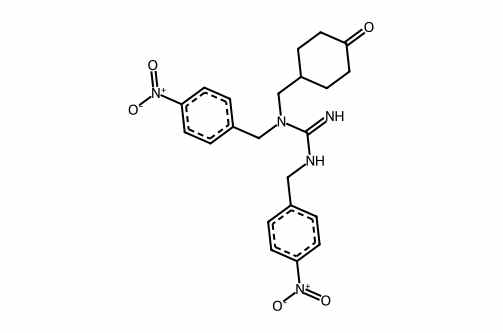 N=C(NCc1ccc([N+](=O)[O-])cc1)N(Cc1ccc([N+](=O)[O-])cc1)CC1CCC(=O)CC1